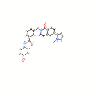 Cn1nccc1-c1ccc2c(=O)n(Cc3cccc(C(=O)N[C@H]4CC[C@@H](O)CC4)c3)ccc2c1